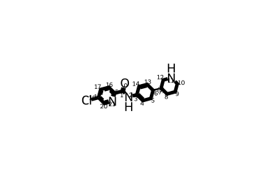 O=C(NC1=CCC([C@@H]2CCCNC2)C=C1)c1ccc(Cl)cn1